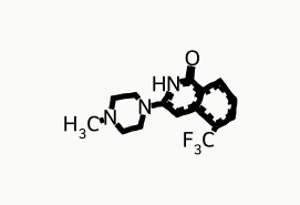 CN1CCN(c2cc3c(C(F)(F)F)cccc3c(=O)[nH]2)CC1